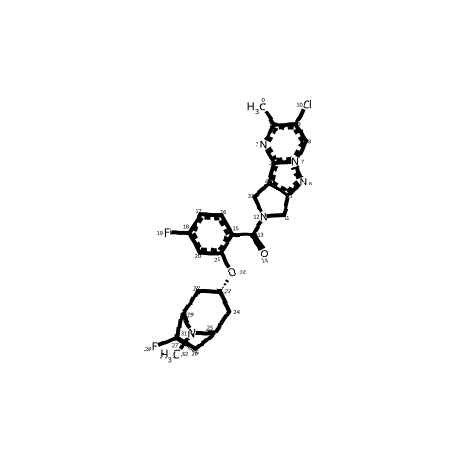 Cc1nc2c3c(nn2cc1Cl)CN(C(=O)c1ccc(F)cc1O[C@@H]1CC2CC(F)C(C1)N2C)C3